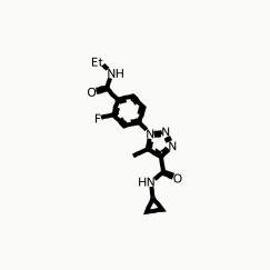 CCNC(=O)c1ccc(-n2nnc(C(=O)NC3CC3)c2C)cc1F